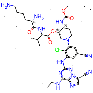 CCNc1nc(Nc2cc(C#N)cc(N3CC[C@@H](NC(=O)OC)[C@H](OC(=O)C(NC(=O)[C@@H](N)CCCCN)C(C)C)C3)c2Cl)nn2c(C#N)cnc12